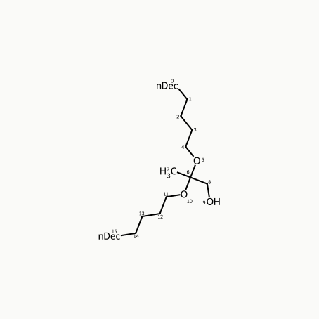 CCCCCCCCCCCCCCOC(C)(CO)OCCCCCCCCCCCCCC